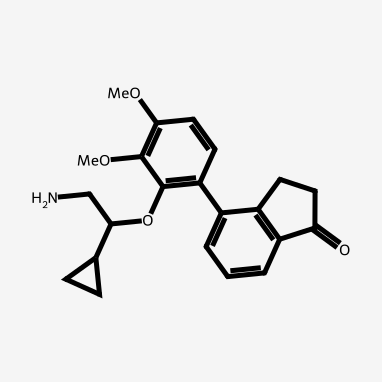 COc1ccc(-c2cccc3c2CCC3=O)c(OC(CN)C2CC2)c1OC